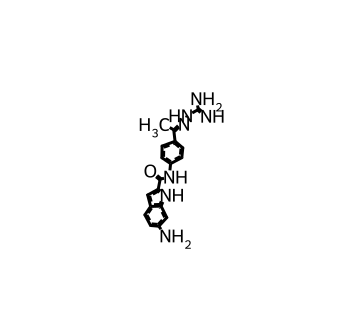 C/C(=N\NC(=N)N)c1ccc(NC(=O)c2cc3ccc(N)cc3[nH]2)cc1